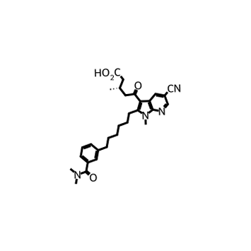 C[C@H](CC(=O)O)CC(=O)c1c(CCCCCCc2cccc(C(=O)N(C)C)c2)n(C)c2ncc(C#N)cc12